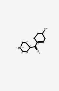 O=C(C1=CCC(F)CC1)C1CCNCC1